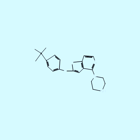 CC(C)(C)c1ccc(Sc2cc3c(N4CCNCC4)nccc3s2)cc1